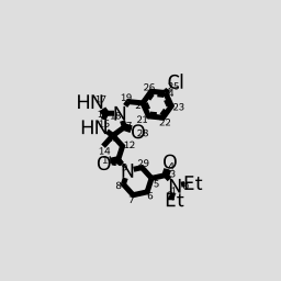 CCN(CC)C(=O)C1CCCN(C(=O)CC2(C)NC(=N)N(Cc3cccc(Cl)c3)C2=O)C1